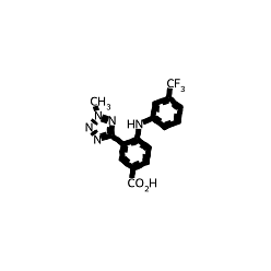 Cn1nnc(-c2cc(C(=O)O)ccc2Nc2cccc(C(F)(F)F)c2)n1